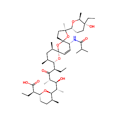 CC[C@@H](C(=O)[C@@H](C)[C@@H](O)[C@H](C)[C@@H]1O[C@@H]([C@@H](CC)C(=O)O)CC[C@@H]1C)[C@H]1O[C@]2(C=C[C@@H](NC(=O)C(C)C)[C@]3(CC[C@@](C)([C@H]4CC[C@](O)(CC)[C@H](C)O4)O3)O2)[C@H](C)C[C@@H]1C